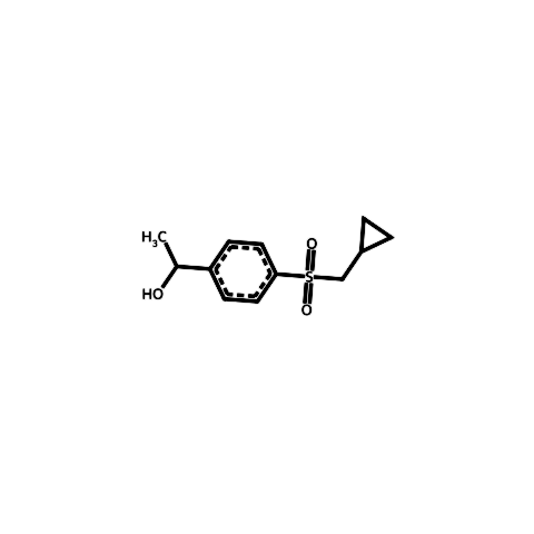 CC(O)c1ccc(S(=O)(=O)CC2CC2)cc1